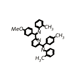 COc1ccc(/C(=N\c2ccccc2C)c2cccc(/C(=N/c3ccccc3C)c3ccc(C)cc3)n2)cc1